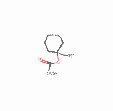 COC(=O)OC1(C(C)C)CCCCC1